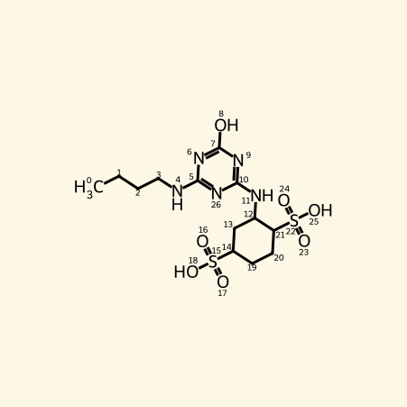 CCCCNc1nc(O)nc(NC2CC(S(=O)(=O)O)CCC2S(=O)(=O)O)n1